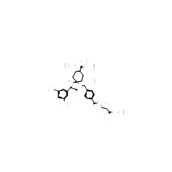 C[C@@H](c1ccc(C(=O)NCCC(=O)O)cc1)N1C(=O)C(c2cc(Cl)cc(Cl)c2)=NC12CCC(C(C)(C)C)CC2